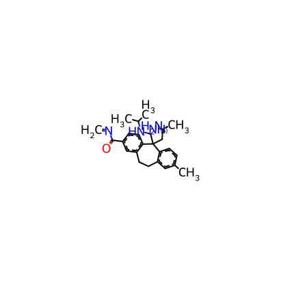 C=NC(=O)c1ccc2c(c1)CCc1cc(C)ccc1C2(C[C@H](C)N)C(=N)NC(C)C